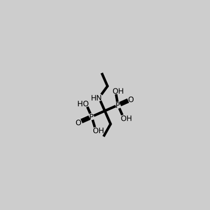 CCNC(CC)(P(=O)(O)O)P(=O)(O)O